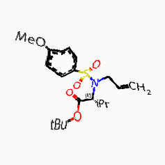 C=CCN([C@@H](C(=O)OC(C)(C)C)C(C)C)S(=O)(=O)c1ccc(OC)cc1